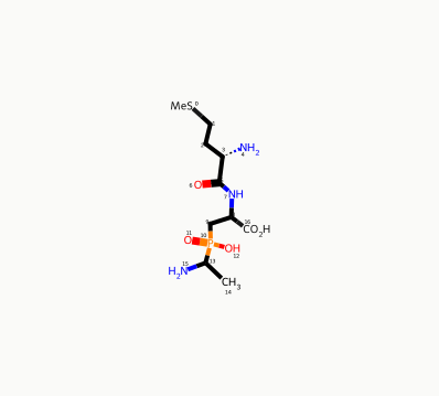 CSCC[C@H](N)C(=O)NC(CP(=O)(O)C(C)N)C(=O)O